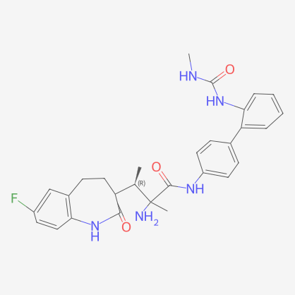 CNC(=O)Nc1ccccc1-c1ccc(NC(=O)C(C)(N)[C@H](C)C2CCc3cc(F)ccc3NC2=O)cc1